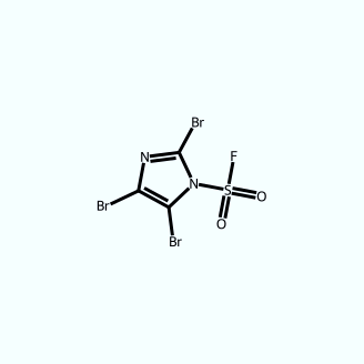 O=S(=O)(F)n1c(Br)nc(Br)c1Br